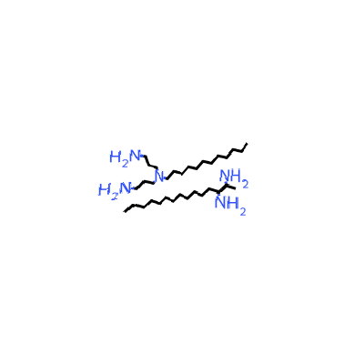 CCCCCCCCCCCCC(N)C(C)N.CCCCCCCCCCCCN(CCCN)CCCN